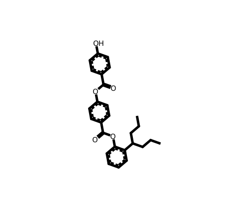 CCCC(CCC)c1ccccc1OC(=O)c1ccc(OC(=O)c2ccc(O)cc2)cc1